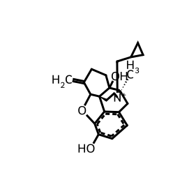 C=C1CCC2(O)C3Cc4ccc(O)c5c4[C@]2(CC[N@@+]3(C)CC2CC2)C1O5